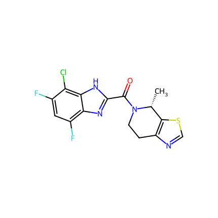 C[C@@H]1c2scnc2CCN1C(=O)c1nc2c(F)cc(F)c(Cl)c2[nH]1